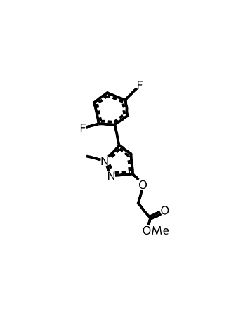 COC(=O)COc1cc(-c2cc(F)ccc2F)n(C)n1